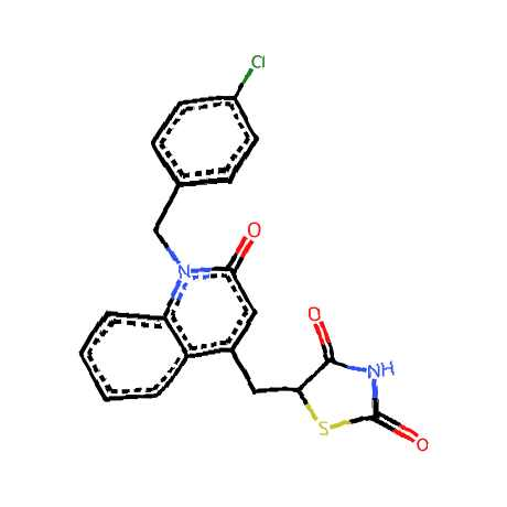 O=C1NC(=O)C(Cc2cc(=O)n(Cc3ccc(Cl)cc3)c3ccccc23)S1